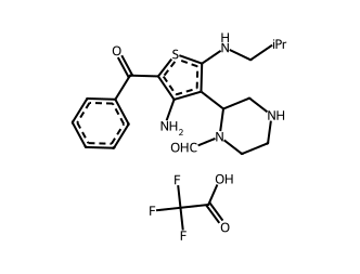 CC(C)CNc1sc(C(=O)c2ccccc2)c(N)c1C1CNCCN1C=O.O=C(O)C(F)(F)F